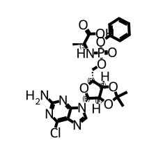 C[C@H](NP(=O)(OC[C@H]1O[C@@H](n2cnc3c(Cl)nc(N)nc32)[C@@H]2OC(C)(C)O[C@@H]21)Oc1ccccc1)C(=O)O